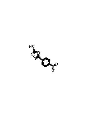 O=[N+]([O-])c1ccc(-c2nnc(S)o2)cc1